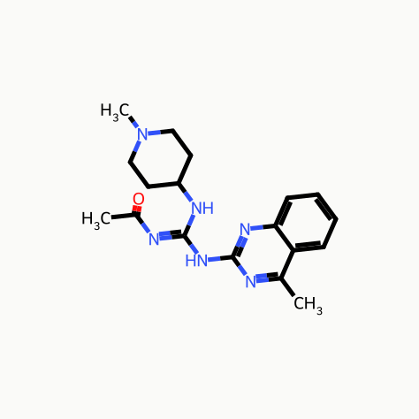 CC(=O)/N=C(/Nc1nc(C)c2ccccc2n1)NC1CCN(C)CC1